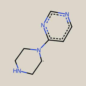 [CH]1CNCCN1c1ccncn1